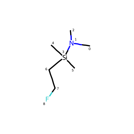 CN(C)[Si](C)(C)CCF